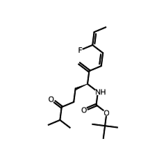 C=C(/C=C\C(F)=C/C)[C@H](CCC(=O)C(C)C)NC(=O)OC(C)(C)C